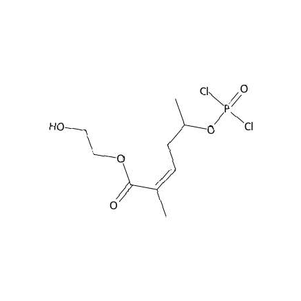 CC(=CCC(C)OP(=O)(Cl)Cl)C(=O)OCCO